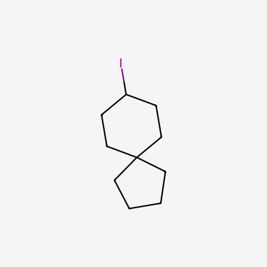 IC1CCC2(CCCC2)CC1